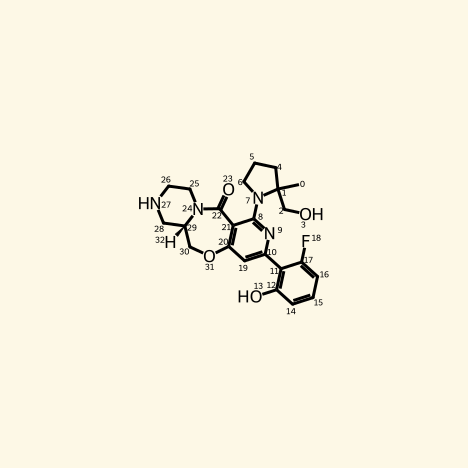 CC1(CO)CCCN1c1nc(-c2c(O)cccc2F)cc2c1C(=O)N1CCNC[C@H]1CO2